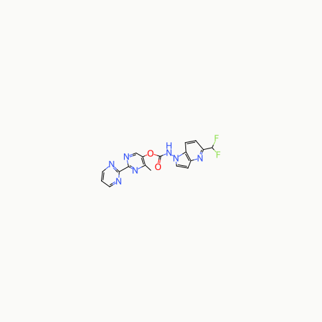 Cc1nc(-c2ncccn2)ncc1OC(=O)Nn1ccc2nc(C(F)F)ccc21